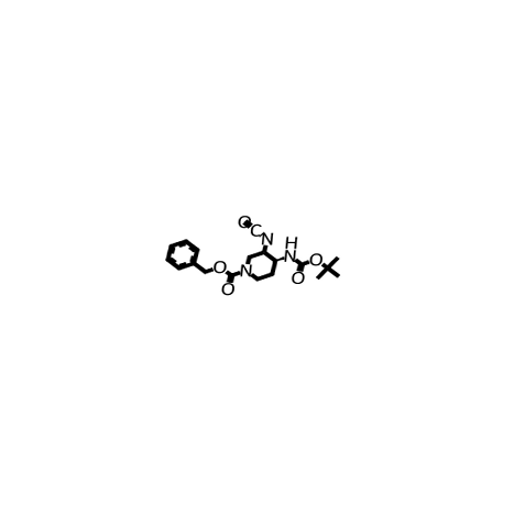 CC(C)(C)OC(=O)N[C@H]1CCN(C(=O)OCc2ccccc2)CC1N=C=O